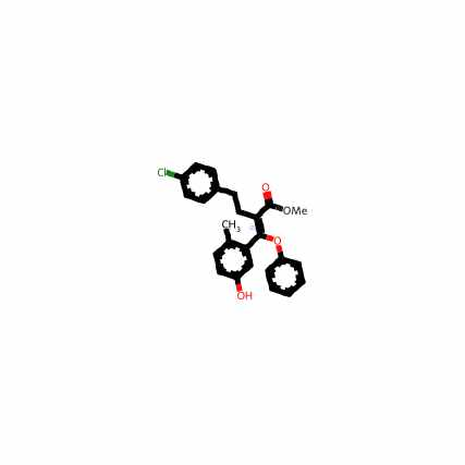 COC(=O)/C(CCc1ccc(Cl)cc1)=C(\Oc1ccccc1)c1cc(O)ccc1C